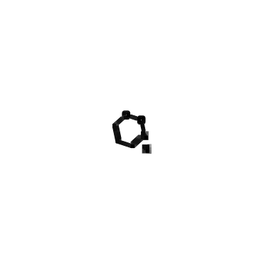 C1=COON=C1.[N]